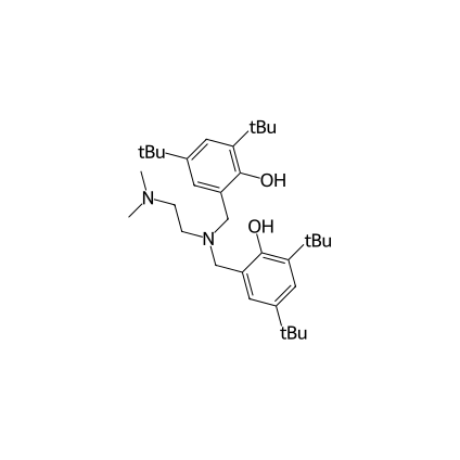 CN(C)CCN(Cc1cc(C(C)(C)C)cc(C(C)(C)C)c1O)Cc1cc(C(C)(C)C)cc(C(C)(C)C)c1O